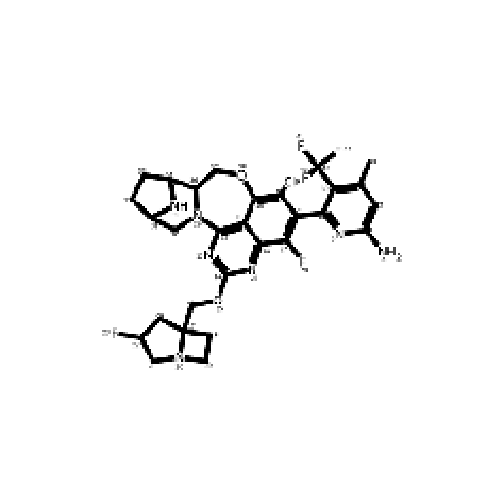 Cc1cc(N)nc(-c2c(Cl)c3c4c(nc(OCC56CCN5CC(F)C6)nc4c2F)N2CC4CCC(N4)C2CO3)c1C(F)(F)F